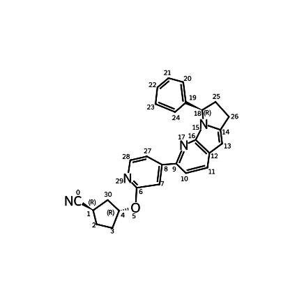 N#C[C@@H]1CC[C@@H](Oc2cc(-c3ccc4cc5n(c4n3)[C@@H](c3ccccc3)CC5)ccn2)C1